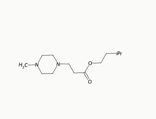 CC(C)CCOC(=O)CCN1CCN(C)CC1